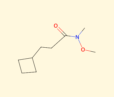 CON(C)C(=O)CCC1CCC1